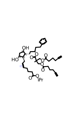 C#CCCCC(=O)OCC(C)(COC(=O)CCCC#C)C(=O)OC(CCc1ccccc1)CC[C@@H]1[C@@H](C/C=C\CCCC(=O)OC(C)C)[C@@H](O)C[C@H]1O